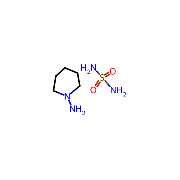 NN1CCCCC1.NS(N)(=O)=O